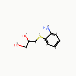 Nc1ccccc1SCC(O)CO